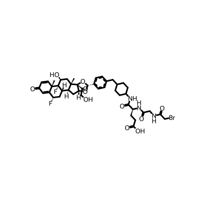 C[C@]12C=CC(=O)C=C1[C@@H](F)C[C@H]1[C@@H]3C[C@H]4O[C@@H](c5ccc(CC6CCC(NC(=O)[C@H](CCC(=O)O)NC(=O)CNC(=O)CBr)CC6)cc5)O[C@@]4(C(=O)CO)[C@@]3(C)C[C@H](O)[C@@]12F